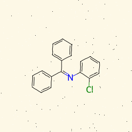 Clc1ccccc1N=C(c1ccccc1)c1ccccc1